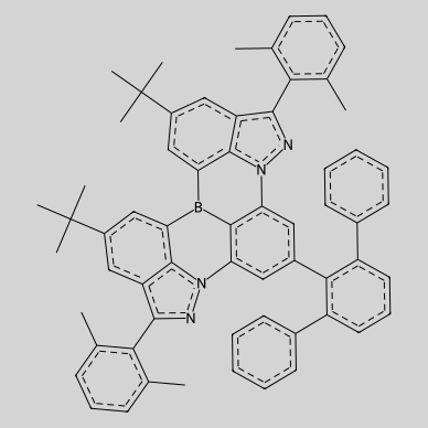 Cc1cccc(C)c1-c1nn2c3c(cc(C(C)(C)C)cc13)B1c3c-2cc(-c2c(-c4ccccc4)cccc2-c2ccccc2)cc3-n2nc(-c3c(C)cccc3C)c3cc(C(C)(C)C)cc1c32